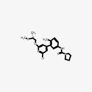 CO[C@H](C)COc1cc(-c2cc(NC(=O)N3CCCC3)ccc2C)cc(Cl)n1